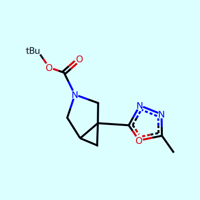 Cc1nnc(C23CC2CN(C(=O)OC(C)(C)C)C3)o1